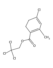 CC1=C(C(=O)OCC(Cl)(Cl)Cl)CCC(Cl)=C1